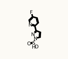 O=[SH](=O)n1ccc(-c2ccc(F)cn2)n1